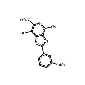 CCOC(=O)c1nc(C#N)c2nc(-c3cccc(OC)c3)sc2c1O